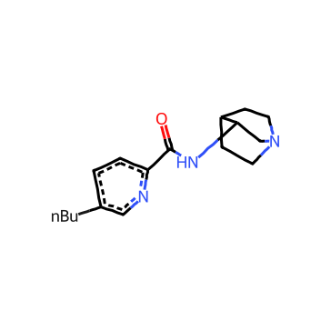 CCCCc1ccc(C(=O)NC2CN3CCC2CC3)nc1